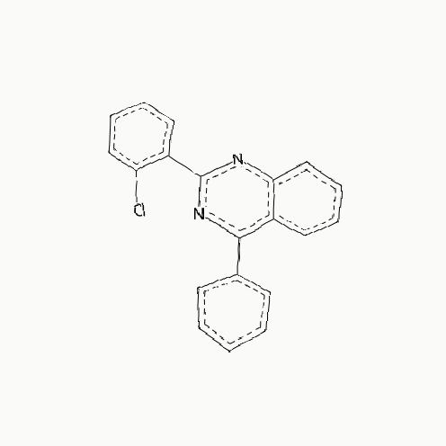 Clc1ccccc1-c1nc(-c2ccccc2)c2ccccc2n1